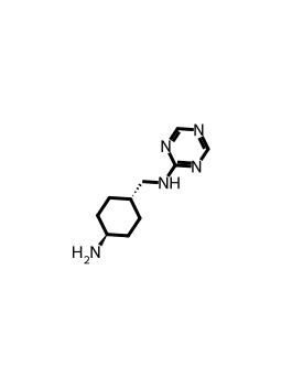 N[C@H]1CC[C@H](CNc2ncncn2)CC1